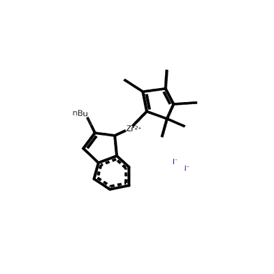 CCCCC1=Cc2ccccc2[CH]1[Zr+2][C]1=C(C)C(C)=C(C)C1(C)C.[I-].[I-]